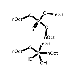 CCCCCCCCOP(=S)(OCCCCCCCC)OCCCCCCCC.CCCCCCCCSP(O)(O)(CCCCCCCC)CCCCCCCC